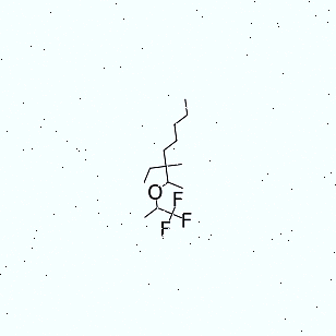 CCCCCC(C)(CC)C(C)OC(C)C(F)(F)F